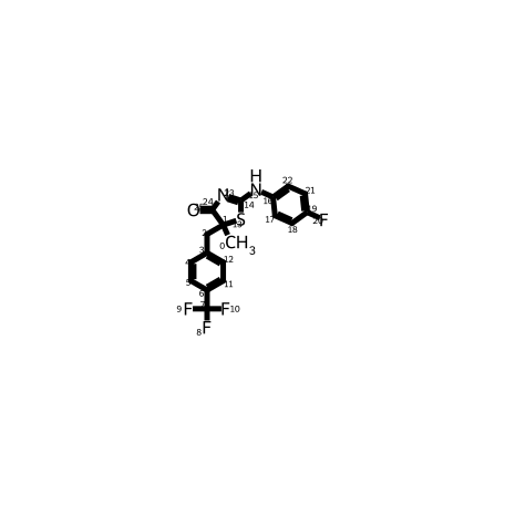 CC1(Cc2ccc(C(F)(F)F)cc2)SC(Nc2ccc(F)cc2)=NC1=O